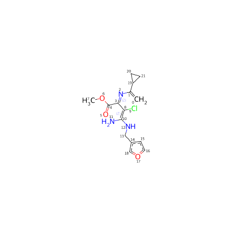 C=C(/N=C(C(=O)OC)\C(Cl)=C(/N)NCc1ccoc1)C1CC1